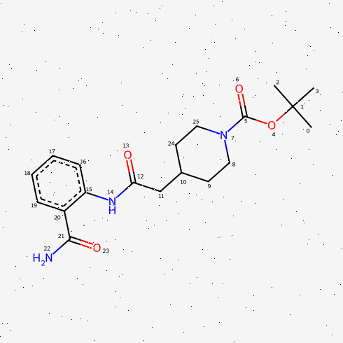 CC(C)(C)OC(=O)N1CCC(CC(=O)Nc2ccccc2C(N)=O)CC1